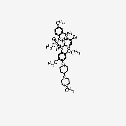 COc1cc(N2CCC(N3CCN(C)CC3)CC2)c(C)cc1Nc1ncc(Br)c(Nc2cc(C)ccc2NS(C)(=O)=O)n1